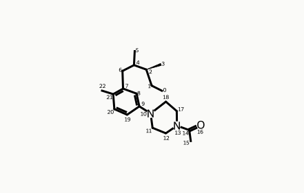 CC[C@H](C)C(C)Cc1cc(N2CCN(C(C)=O)CC2)ccc1C